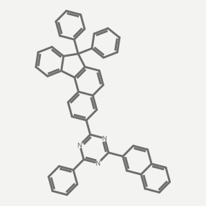 c1ccc(-c2nc(-c3ccc4ccccc4c3)nc(-c3ccc4c5c(ccc4c3)C(c3ccccc3)(c3ccccc3)c3ccccc3-5)n2)cc1